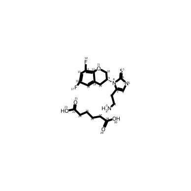 NCCC1=C[N]C(=S)N1[C@H]1COc2c(F)cc(F)cc2C1.O=C(O)CCCCC(=O)O